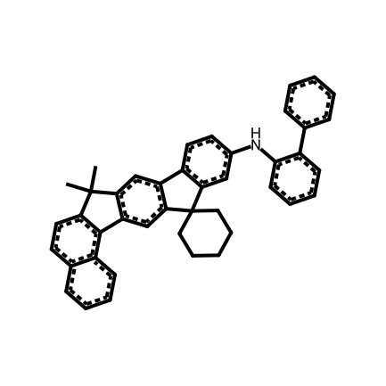 CC1(C)c2cc3c(cc2-c2c1ccc1ccccc21)C1(CCCCC1)c1cc(Nc2ccccc2-c2ccccc2)ccc1-3